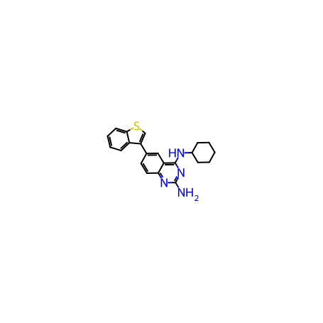 Nc1nc(NC2CCCCC2)c2cc(-c3csc4ccccc34)ccc2n1